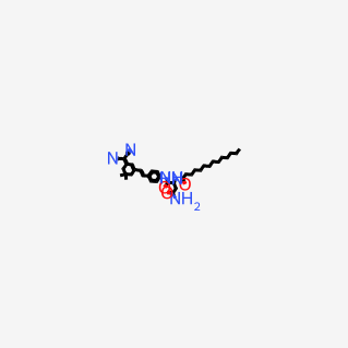 CCCCCCCCCCCCCC(=O)NC(CC(N)=O)C(=O)Nc1ccc(C=CC2=CC(=C(C#N)C#N)CC(C)(C)C2)cc1